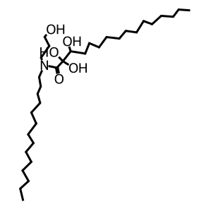 CCCCCCCCCCCCCCN(CCCO)C(=O)C(O)(O)C(O)CCCCCCCCCCCCC